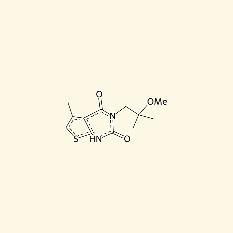 COC(C)(C)Cn1c(=O)[nH]c2scc(C)c2c1=O